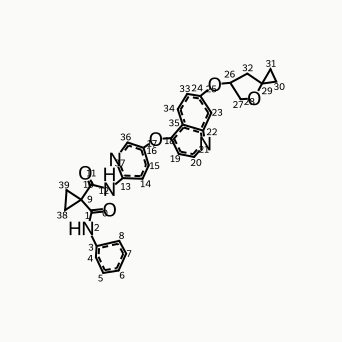 O=C(Nc1ccccc1)C1(C(=O)Nc2ccc(Oc3ccnc4cc(OC5COC6(CC6)C5)ccc34)cn2)CC1